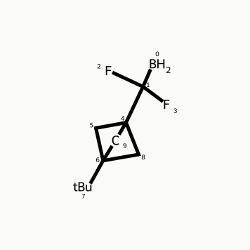 BC(F)(F)C12CC(C(C)(C)C)(C1)C2